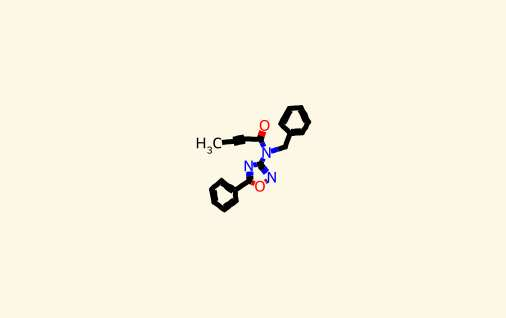 CC#CC(=O)N(Cc1ccccc1)c1noc(-c2ccccc2)n1